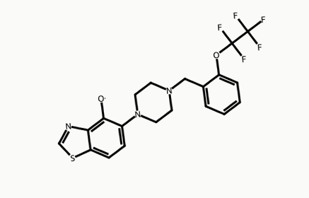 [O]c1c(N2CCN(Cc3ccccc3OC(F)(F)C(F)(F)F)CC2)ccc2scnc12